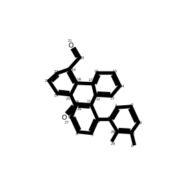 Cc1cccc(-c2ccccc2-c2ccccc2-c2c(C=O)cccc2C=O)c1C